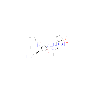 C=CC(=O)Nc1cc(Nc2ncc(Cl)c(Nc3ccccc3P(C)(C)=O)n2)c(OC)cc1C#CC(C)(C)N